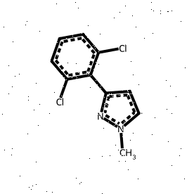 Cn1[c]cc(-c2c(Cl)cccc2Cl)n1